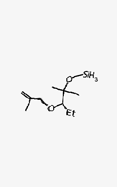 C=C(C)COC(CC)C(C)(C)O[SiH3]